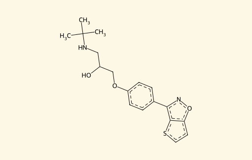 CC(C)(C)NCC(O)COc1ccc(-c2noc3ccsc23)cc1